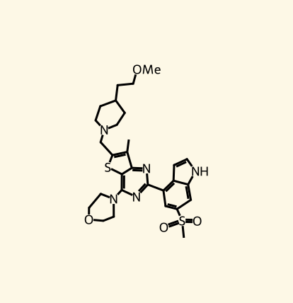 COCCC1CCN(Cc2sc3c(N4CCOCC4)nc(-c4cc(S(C)(=O)=O)cc5[nH]ccc45)nc3c2C)CC1